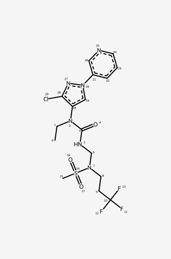 CCN(C(=O)NCN(CCC(F)(F)F)S(C)(=O)=O)c1cn(-c2cccnc2)nc1Cl